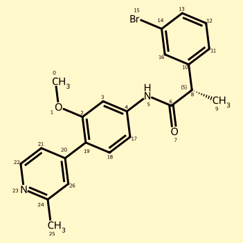 COc1cc(NC(=O)[C@@H](C)c2cccc(Br)c2)ccc1-c1ccnc(C)c1